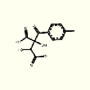 Cc1ccc(C(=O)C(O)(C(=O)O)C(O)C(=O)O)cc1